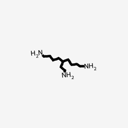 NCCCCC(CCN)CCCCN